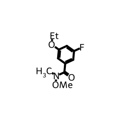 CCOc1cc(F)cc(C(=O)N(C)OC)c1